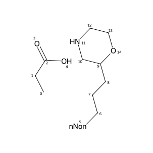 CCC(=O)O.CCCCCCCCCCCCC1CNCCO1